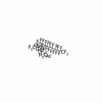 CC(C)=O.FC(F)(F)O[Si](OC(F)(F)F)(OC(F)(F)F)C(F)(F)C(F)(F)C(F)(F)C(F)(F)C(F)(F)C(F)(F)C(F)(F)C(F)(F)C(F)(F)C(F)(F)F